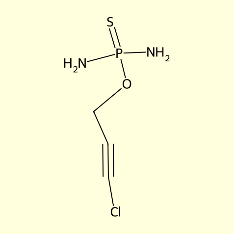 NP(N)(=S)OCC#CCl